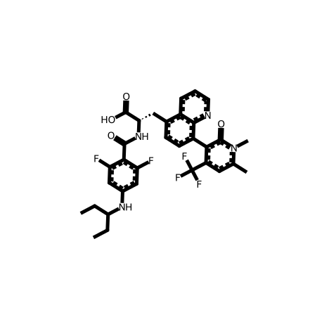 CCC(CC)Nc1cc(F)c(C(=O)N[C@@H](Cc2ccc(-c3c(C(F)(F)F)cc(C)n(C)c3=O)c3ncccc23)C(=O)O)c(F)c1